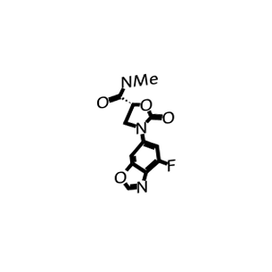 CNC(=O)[C@H]1CN(c2cc(F)c3ncoc3c2)C(=O)O1